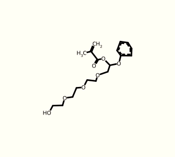 C=C(C)C(=O)OC(COCCOCCOCCO)Oc1ccccc1